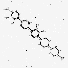 CCCCCCc1ccc(-c2ccc(-c3ccc(C4CCC(C5CCC(CCC)CC5)CC4)c(F)c3F)cc2)c(F)c1F